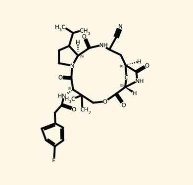 CC(C)C1CCN2C(=O)[C@@H](NC(=O)Cc3ccc(F)cc3)C(C)(C)COC(=O)[C@@H]3C[C@@H](CC(C#N)NC(=O)[C@H]12)C(=O)N3